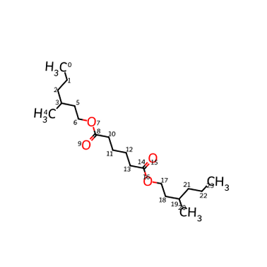 CCCC(C)CCOC(=O)CCCCC(=O)OCCC(C)CCC